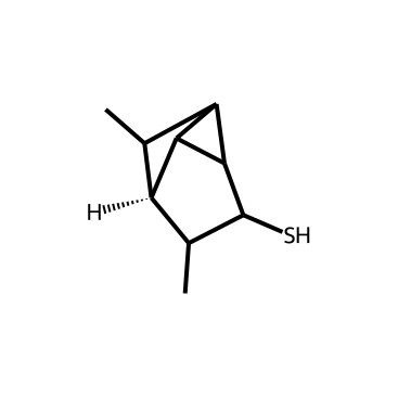 CC1C(S)C2C3C(C)[C@H]1C23